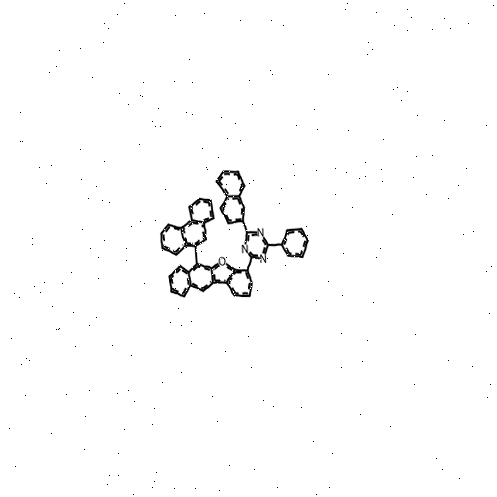 c1ccc(-c2nc(-c3ccc4ccccc4c3)nc(-c3cccc4c3oc3c(-c5cc6ccccc6c6ccccc56)c5ccccc5cc34)n2)cc1